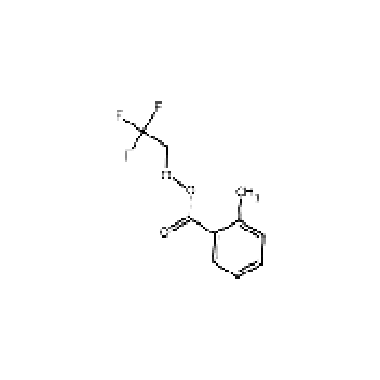 Cc1ccccc1C(=O)OOCC(F)(F)F